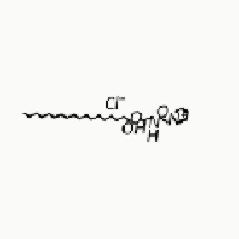 CCCCCCCCCCCCCCCCCC(O)OCCNC(=O)C[n+]1ccccc1.[Cl-]